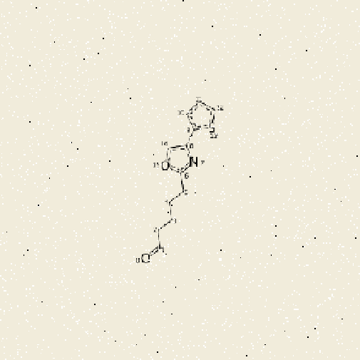 O=CCCCCc1nc(-c2cccs2)co1